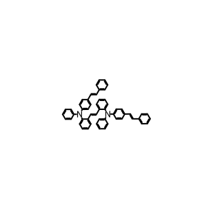 C(=C\c1ccc(N(c2ccccc2)c2ccccc2/C=C/c2ccccc2N(c2ccccc2)c2ccc(/C=C/c3ccccc3)cc2)cc1)/c1ccccc1